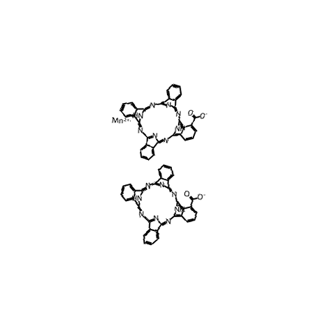 O=C([O-])c1cccc2c3nc4nc(nc5[nH]c(nc6nc(nc([nH]3)c12)-c1ccccc1-6)c1ccccc51)-c1ccccc1-4.O=C([O-])c1cccc2c3nc4nc(nc5[nH]c(nc6nc(nc([nH]3)c12)-c1ccccc1-6)c1ccccc51)-c1ccccc1-4.[Mn+2]